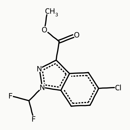 COC(=O)c1nn(C(F)F)c2ccc(Cl)cc12